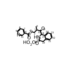 CC(CSC(=O)c1cccnc1)C(=O)C1NC(OC(=O)O)Cc2ccccc21